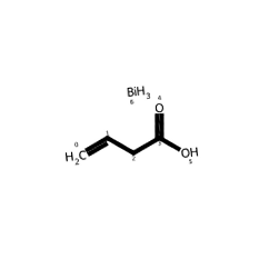 C=CCC(=O)O.[BiH3]